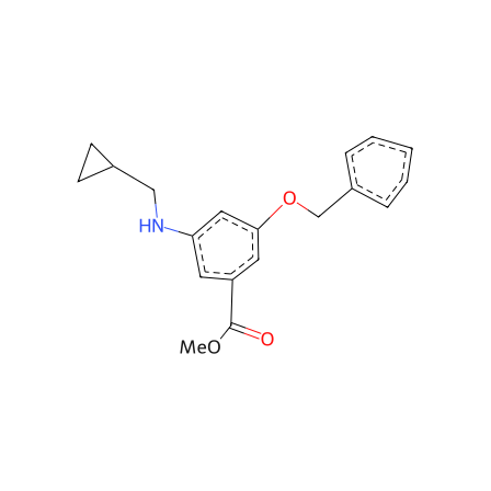 COC(=O)c1cc(NCC2CC2)cc(OCc2ccccc2)c1